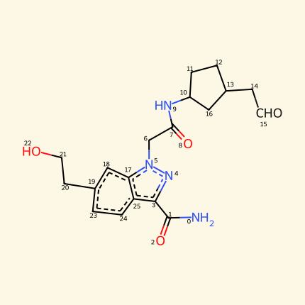 NC(=O)c1nn(CC(=O)NC2CCC(CC=O)C2)c2cc(CCO)ccc12